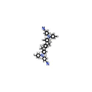 Cc1ccc(N(c2ccc(C#N)cc2)c2ccc3c(c2)C(C)(C)c2cc4c(cc2-3)C(C)(C)c2cc(N(c3ccc(C)cc3)c3ccc(C#N)cc3)cc(C)c2-4)cc1